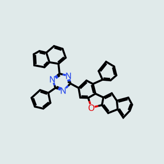 c1ccc(-c2nc(-c3cc(-c4ccccc4)c4c(c3)oc3cc5ccccc5cc34)nc(-c3cccc4ccccc34)n2)cc1